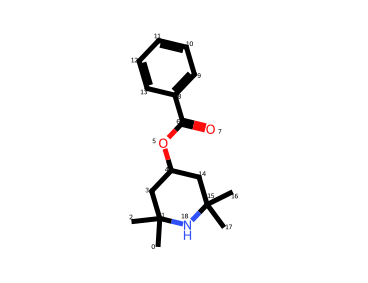 CC1(C)CC(OC(=O)c2cc[c]cc2)CC(C)(C)N1